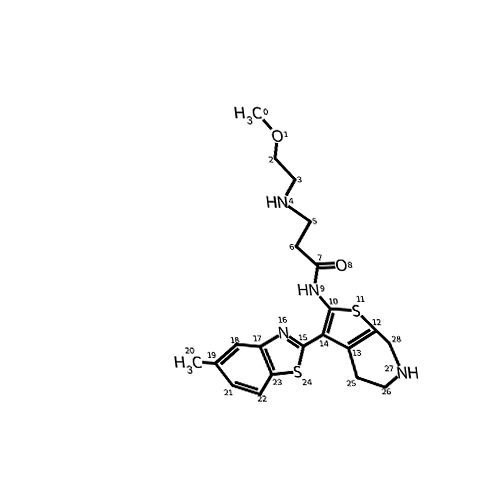 COCCNCCC(=O)Nc1sc2c(c1-c1nc3cc(C)ccc3s1)CCNC2